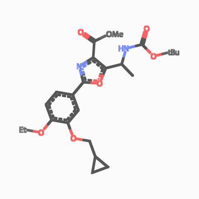 CCOc1ccc(-c2nc(C(=O)OC)c(C(C)NC(=O)OC(C)(C)C)o2)cc1OCC1CC1